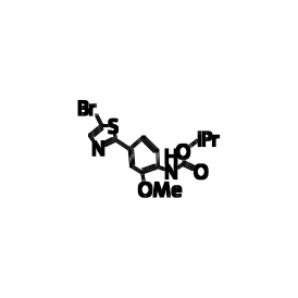 COc1cc(-c2ncc(Br)s2)ccc1NC(=O)OC(C)C